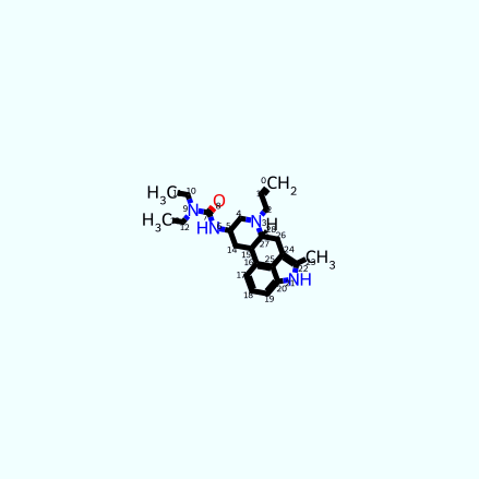 C=CCN1CC(NC(=O)N(CC)CC)CC2c3cccc4[nH]c(C)c(c34)C[C@H]21